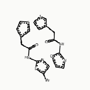 CC(C)c1cnc(NC(=O)Cc2ccsc2)s1.O=C(Cc1ccsc1)Nc1ncco1